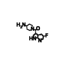 NC1CCN(C(=O)c2c[nH]c3ncc(F)cc23)CC1